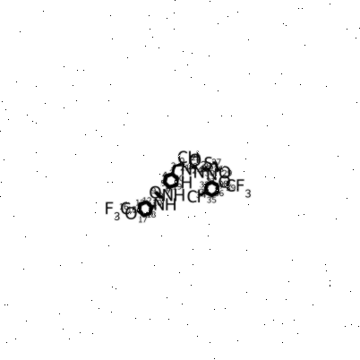 CC(Cc1ccc(NC(=O)Nc2ccc(OC(F)(F)F)cc2)cc1)NC(=O)/N=C1\SCC(=O)N1c1cc(Cl)ccc1OC(F)(F)F